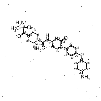 CC(C)(N)C(=O)N1CCN(C(=O)Nc2ccn(-c3ccc(CN4CCC(N)CC4)cc3)c(=O)n2)[C@H](N)C1